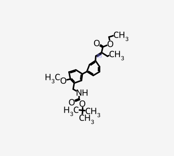 CCOC(=O)/C(=C/c1cccc(-c2ccc(OC)c(CNC(=O)OC(C)(C)C)c2)c1)CC